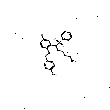 COCCOCN(c1cc(Cl)ccc1OCc1ccc(C(=O)O)cc1)S(=O)(=O)c1ccccc1